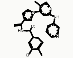 C=C(NC(CC)C1C=C(Cl)C(C)=CC1)c1ccn(-c2cc(Nc3cccnc3)ncc2C)c1